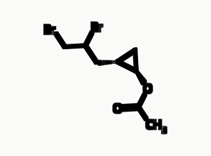 CC(=O)O[C@@H]1C[C@H]1CC(Br)CBr